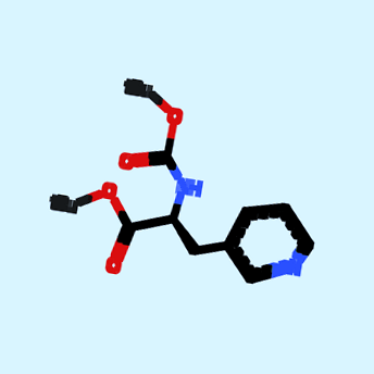 CC(C)(C)OC(=O)N[C@@H](Cc1cccnc1)C(=O)OC(C)(C)C